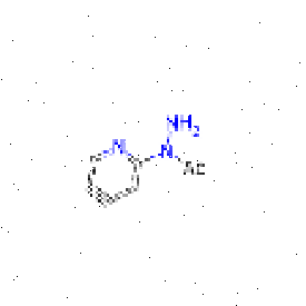 CC(=O)N(N)c1cc#ccn1